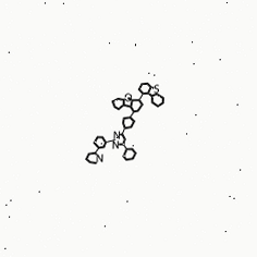 c1ccc(-c2cc(-c3ccc(-c4ccc(-c5cccc6sc7ccccc7c56)c5oc6ccccc6c45)cc3)nc(-c3cccc(-c4ccccn4)c3)n2)cc1